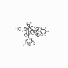 C[C@@H]1CN(C(=O)[C@@H]2CC[C@@H](S(=O)(=O)c3ccccc3)C2)C[C@H](C)O1.N#CC1(NC(=O)O)CC1